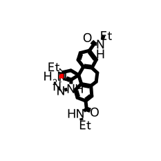 CCNC(=O)c1ccc2c(c1)CCc1cc(C(=O)NCC)ccc1C2(C[C@H](N)CC)c1nnn[nH]1